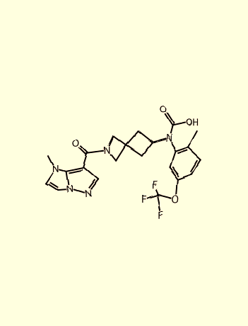 Cc1ccc(OC(F)(F)F)cc1N(C(=O)O)C1CC2(C1)CN(C(=O)c1cnn3ccn(C)c13)C2